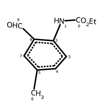 CCOC(=O)Nc1ccc(C)cc1C=O